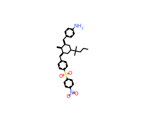 C=C1/C(=C/c2ccc(N)cc2)CC(C(C)(C)CCC)C/C1=C\c1ccc(S(=O)(=O)c2ccc([N+](=O)[O-])cc2)cc1